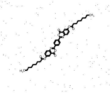 CCCCCCCCC(=O)Oc1ccc2nc(-c3ccc(-c4nc5ccc(OC(=O)CCCCCCCC)cc5c(=O)o4)cc3)oc(=O)c2c1